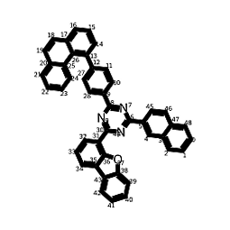 c1ccc2cc(-c3nc(-c4ccc(-c5cccc6ccc7ccccc7c56)cc4)nc(-c4cccc5c4oc4ccccc45)n3)ccc2c1